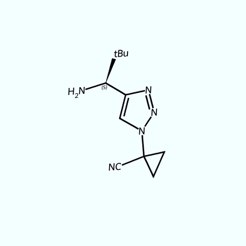 CC(C)(C)[C@H](N)c1cn(C2(C#N)CC2)nn1